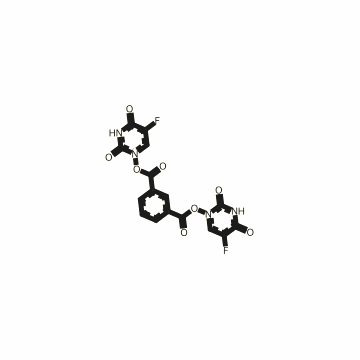 O=C(On1cc(F)c(=O)[nH]c1=O)c1cccc(C(=O)On2cc(F)c(=O)[nH]c2=O)c1